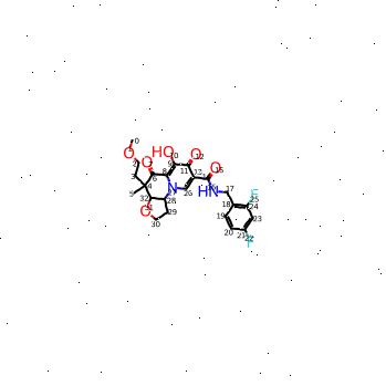 COCCC1(C)C(=O)c2c(O)c(=O)c(C(=O)NCc3ccc(F)cc3F)cn2C2CCOC21